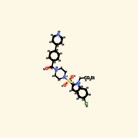 CCOC(=O)Cn1c(S(=O)(=O)N2CCN(C(=O)c3ccc(-c4ccncc4)cc3)CC2)cc2cc(Cl)ccc21